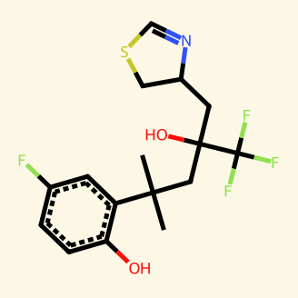 CC(C)(CC(O)(CC1CSC=N1)C(F)(F)F)c1cc(F)ccc1O